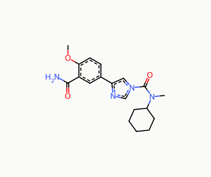 COc1ccc(-c2cn(C(=O)N(C)C3CCCCC3)cn2)cc1C(N)=O